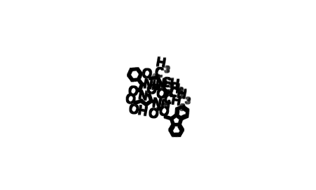 C[C@@H](C(=O)NC(C(=O)N1CC(NC(=O)OCC2c3ccccc3-c3ccccc32)CC1C(=O)O)C1CCCCC1)N(C)C(=O)OC(C)(C)C